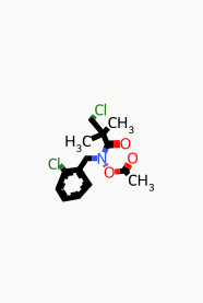 CC(=O)ON(Cc1ccccc1Cl)C(=O)C(C)(C)CCl